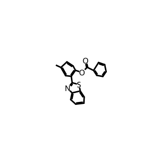 Cc1ccc(OC(=O)c2ccccc2)c(-c2nc3ccccc3s2)c1